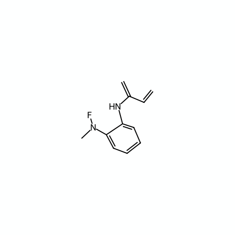 C=CC(=C)Nc1ccccc1N(C)F